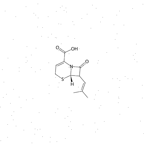 CC(C)=CC1C(=O)N2C(C(=O)O)=CCS[C@@H]12